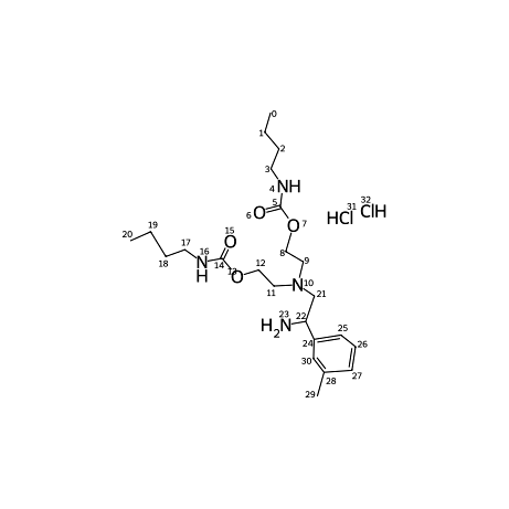 CCCCNC(=O)OCCN(CCOC(=O)NCCCC)CC(N)c1cccc(C)c1.Cl.Cl